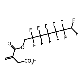 C=C(CC(=O)O)C(=O)OCC(F)(F)C(F)(F)C(F)(F)C(F)(F)C(F)(F)C(F)F